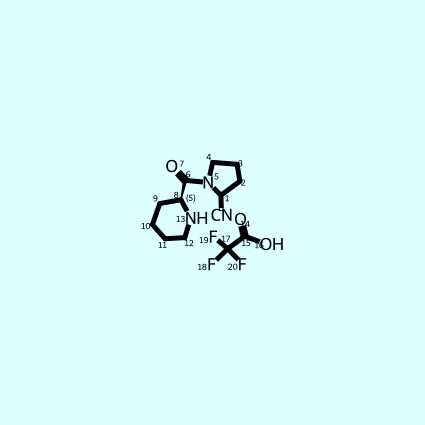 N#CC1CCCN1C(=O)[C@@H]1CCCCN1.O=C(O)C(F)(F)F